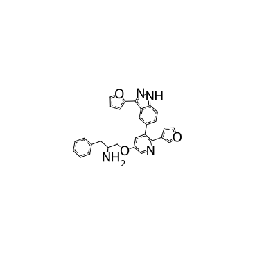 N[C@H](COc1cnc(-c2ccoc2)c(-c2ccc3[nH]nc(-c4ccco4)c3c2)c1)Cc1ccccc1